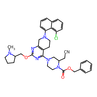 CN1CCCC1COc1nc2c(c(N3CCN(C(=O)OCc4ccccc4)C(CC#N)C3)n1)CCN(c1cccc3cccc(Cl)c13)C2